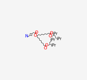 CC(C)CCC(COC(=O)CCCCCCCC(CCCCCCCC(=O)OCC(CCC(C)C)C(C)C)OC(=O)CC1CC(CN(C)C)C1)C(C)C